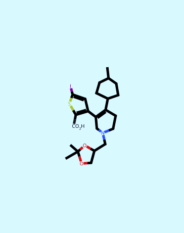 CC1CCC(C2=C(c3cc(I)sc3C(=O)O)CN(CC3COC(C)(C)O3)CC2)CC1